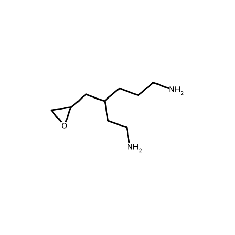 NCCCC(CCN)CC1CO1